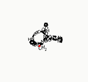 C=C[C@@H]1C[C@@]12NC(=O)[C@@H]1C[C@@H](OC(=O)N3CCN(c4ncccn4)CC3)CN1C(=O)[C@@H](NC(=O)OC1CCCC1)CCCCCCCNc1ccccc1S(=O)(=O)NC2=O